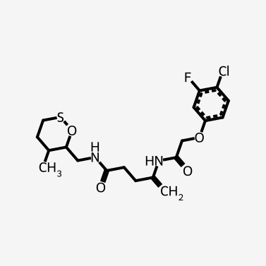 C=C(CCC(=O)NCC1OSCCC1C)NC(=O)COc1ccc(Cl)c(F)c1